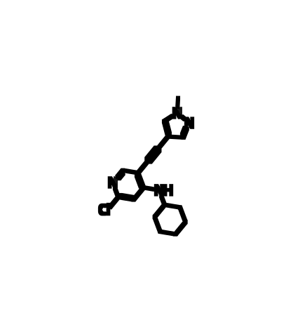 Cn1cc(C#Cc2cnc(Cl)cc2NC2CCCCC2)cn1